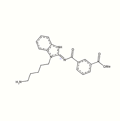 COC(=O)c1cccc(C(=O)/N=c2\[nH]c3ccccc3n2CCCCCN)c1